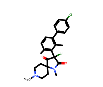 CON1CCC2(CC1)C(=O)C(Cl)(c1c(C)ccc(-c3ccc(Cl)cc3)c1C)C(=O)N2C